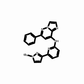 CC(C)(C)n1ccc(-c2cccc(Nc3cc(-c4ccccc4)nn4ccnc34)n2)n1